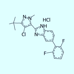 Cl.Cn1nc(C(C)(C)C)c(Cl)c1-c1nc2cc(-c3c(F)cccc3F)ccc2[nH]1